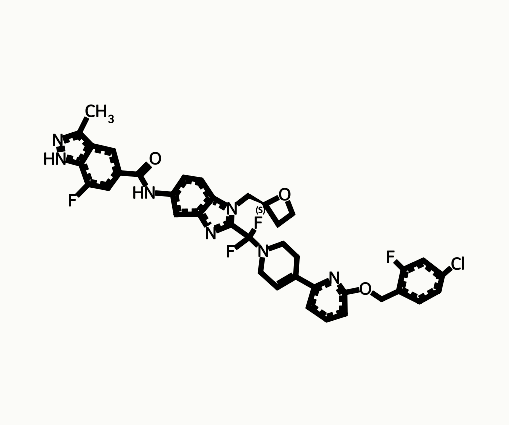 Cc1n[nH]c2c(F)cc(C(=O)Nc3ccc4c(c3)nc(C(F)(F)N3CC=C(c5cccc(OCc6ccc(Cl)cc6F)n5)CC3)n4C[C@@H]3CCO3)cc12